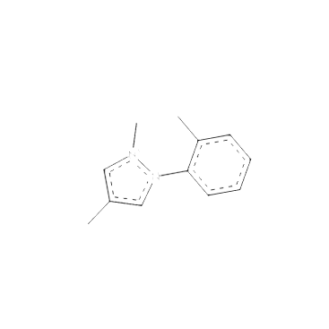 Cc1cn(-c2ccccc2C)[n+](C)c1